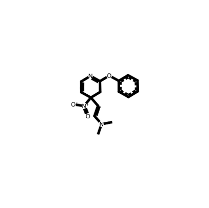 CN(C)C=CC1([N+](=O)[O-])C=CN=C(Oc2ccccc2)C1